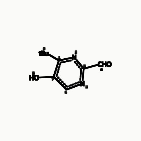 CC(C)(C)c1nc(C=O)ncc1O